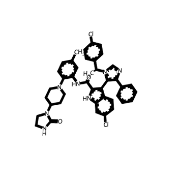 Cc1ccc(N2CCC(N3CCNC3=O)CC2)c(NC(=O)c2[nH]c3cc(Cl)ccc3c2-c2c(-c3ccccc3)ncn2[C@@H](C)c2ccc(Cl)cc2)c1